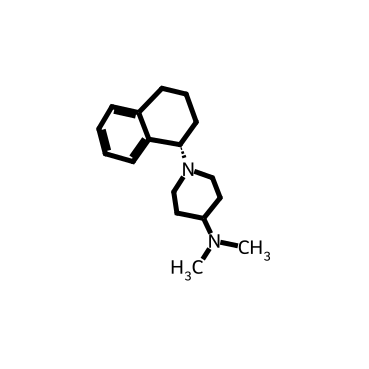 CN(C)C1CCN([C@H]2CCCc3ccccc32)CC1